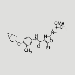 CCc1oc(N2CC(C)(OC)C2)nc1C(=O)Nc1ccc(OC2CC3CC3C2)c(C)c1